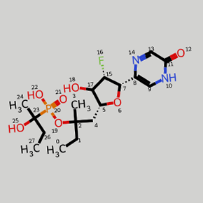 CCC(C)(C[C@H]1O[C@@H](c2c[nH]c(=O)cn2)[C@@H](F)C1O)OP(=O)(O)C(C)(O)CC